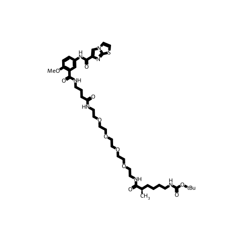 COc1ccc(NC(=O)c2cn3ccsc3n2)cc1C(=O)NCCCC(=O)NCCOCCOCCOCCOCCNC(=O)[C@H](C)CCCCNC(=O)OC(C)(C)C